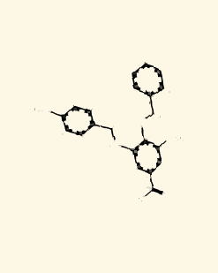 COc1ccc(COc2cc(C(N)=O)cc(OC)c2OCc2ccccc2)cc1